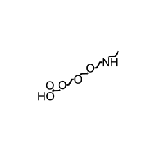 CCCNCCOCCOCCOCC(=O)O